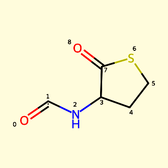 O=[C]NC1CCSC1=O